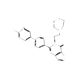 O=c1c2sccc2nc(-c2ccc(-c3ccc(F)cc3)cc2)n1CCN1CCCCC1